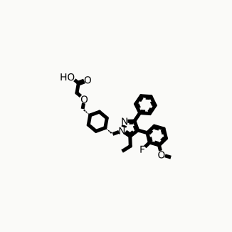 CCc1c(-c2cccc(OC)c2F)c(-c2ccccc2)nn1C[C@H]1CC[C@@H](COCC(=O)O)CC1